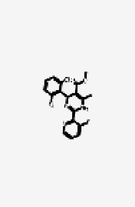 COC(=O)C1=C(C)NC(c2ncccc2F)=NC1c1c(Cl)cccc1Cl